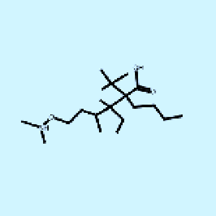 CCCCC(C(=O)O)(C(C)(C)C)C(C)(CC)C(C)CCO[SiH](C)C